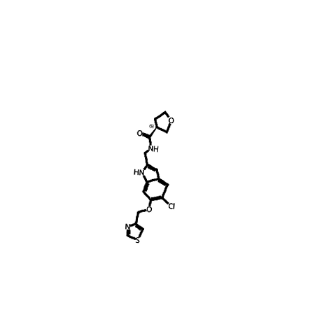 O=C(NCc1cc2cc(Cl)c(OCc3cscn3)cc2[nH]1)[C@H]1CCOC1